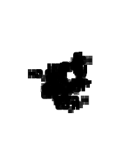 CCC(=O)[C@@H]1CSSC[C@H](NC(=O)[C@@H](CCC(=O)O)CC(=O)[C@H](Cc2ccc(O)cc2)NC(=O)CCC(C(=O)O)N2CCN(CC(=O)O)CCN(CC(=O)O)CCN(CC(=O)O)CC2)C(=O)N2C[C@H](O)C[C@H]2C(=O)C[C@@H](Cc2ccc(O)c(Cl)c2)C(=O)NCC(=O)C[C@@H](CC(C)C)C(=O)N1